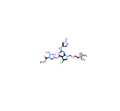 CCn1cc(Nc2nc(ON3CN(C(=O)OC(C)(C)C)N(C)N3)c3c(Cl)cn(COCC[Si](C)(C)C)c3n2)cn1